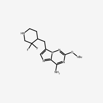 CCCCOc1nc(N)c2ncc(CC3CCNCC3(F)F)n2n1